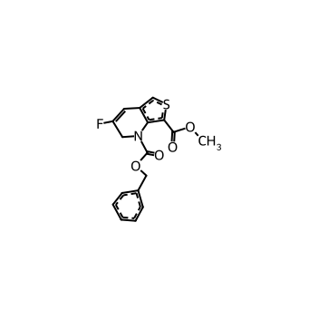 COC(=O)c1scc2c1N(C(=O)OCc1ccccc1)CC(F)=C2